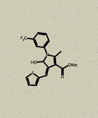 COC(=O)C1=C(C)N(c2cccc(C(F)(F)F)c2)C(O)/C1=C\c1cccs1